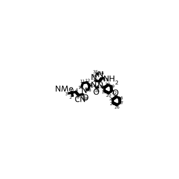 CNC(C)(C)C=C(C#N)C(=O)N1CCC[C@H](n2c(=O)n(-c3ccc(Oc4ccccc4)cc3)c3c(N)ncnc32)C1